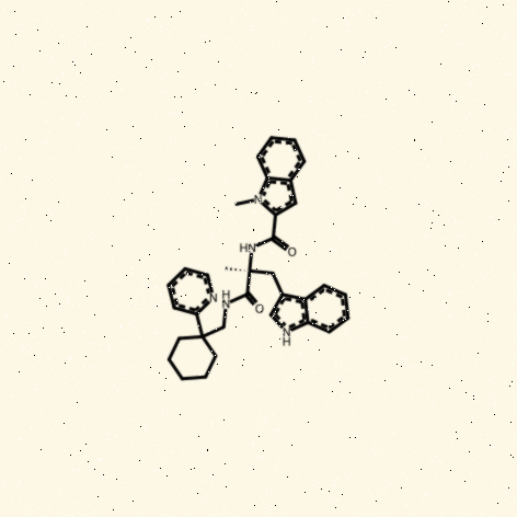 Cn1c(C(=O)N[C@@](C)(Cc2c[nH]c3ccccc23)C(=O)NCC2(c3ccccn3)CCCCC2)cc2ccccc21